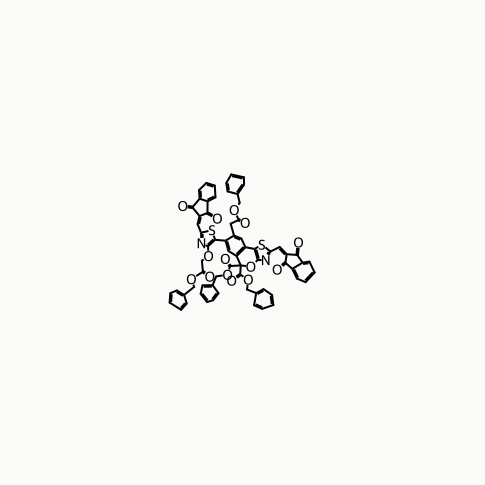 O=C(COc1nc(C=C2C(=O)c3ccccc3C2=O)sc1-c1cc2c(cc1CC(=O)OCc1ccccc1)-c1sc(C=C3C(=O)c4ccccc4C3=O)nc1OC2(C(=O)OCc1ccccc1)C(=O)OCc1ccccc1)OCc1ccccc1